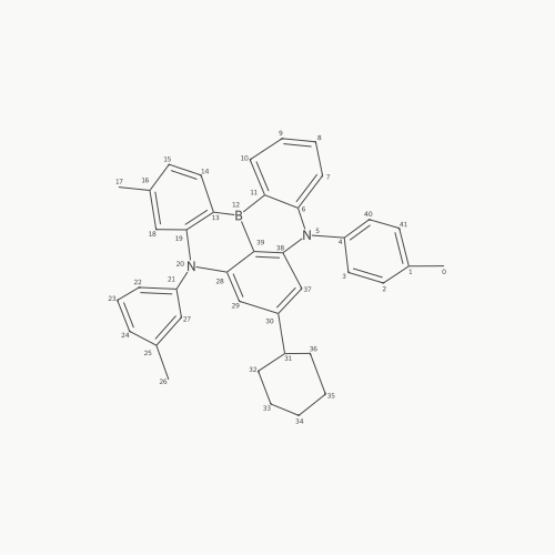 Cc1ccc(N2c3ccccc3B3c4ccc(C)cc4N(c4cccc(C)c4)c4cc(C5CCCCC5)cc2c43)cc1